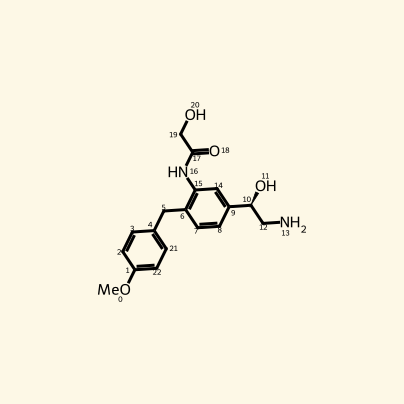 COc1ccc(Cc2ccc([C@@H](O)CN)cc2NC(=O)CO)cc1